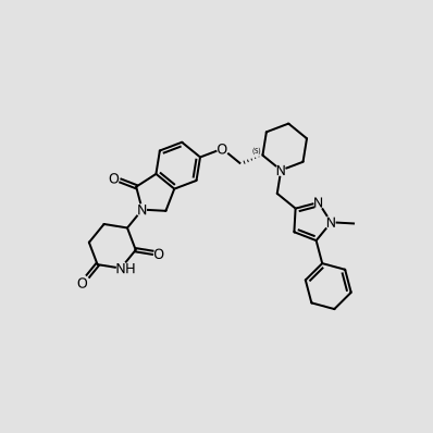 Cn1nc(CN2CCCC[C@H]2COc2ccc3c(c2)CN(C2CCC(=O)NC2=O)C3=O)cc1C1=CCCC=C1